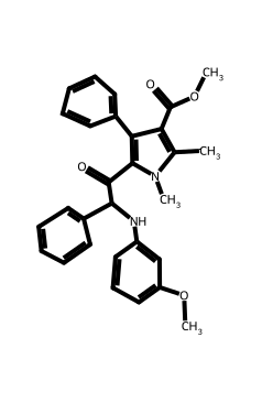 COC(=O)c1c(-c2ccccc2)c(C(=O)C(Nc2cccc(OC)c2)c2ccccc2)n(C)c1C